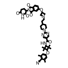 Cc1cc(OC2C(C)(C)C(NC(=O)c3cnc(N4CCC(CCN5CC(Oc6ccc7c(c6)C(=O)N(C6CCC(=O)NC6=O)C7=O)C5)CC4)nc3)C2(C)C)cc(C)c1C#N